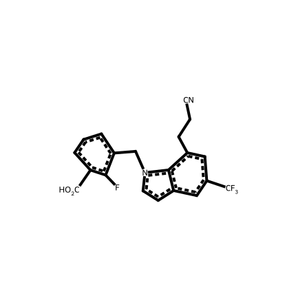 N#CCCc1cc(C(F)(F)F)cc2ccn(Cc3cccc(C(=O)O)c3F)c12